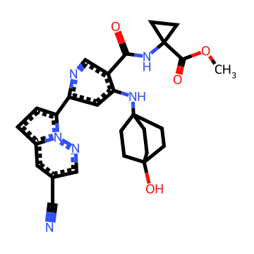 COC(=O)C1(NC(=O)c2cnc(-c3ccc4cc(C#N)cnn34)cc2NC23CCC(O)(CC2)CC3)CC1